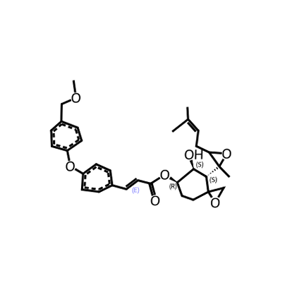 COCc1ccc(Oc2ccc(/C=C/C(=O)O[C@@H]3CCC4(CO4)[C@@H](C4(C)OC4CC=C(C)C)[C@@H]3O)cc2)cc1